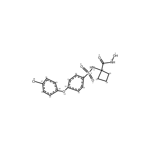 O=C(NO)C1(NS(=O)(=O)c2ccc(Oc3ccc(Cl)cc3)cc2)CCC1